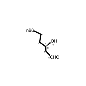 CCCCCC[C@@H](O)CC=O